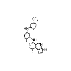 Cc1ccc(Nc2cccc(C(F)(F)F)c2)cc1NC(=O)c1cnc2[nH]ccc2c1N(C)C